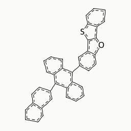 c1ccc2cc(-c3c4ccccc4c(-c4ccc5oc6c7ccccc7sc6c5c4)c4ccccc34)ccc2c1